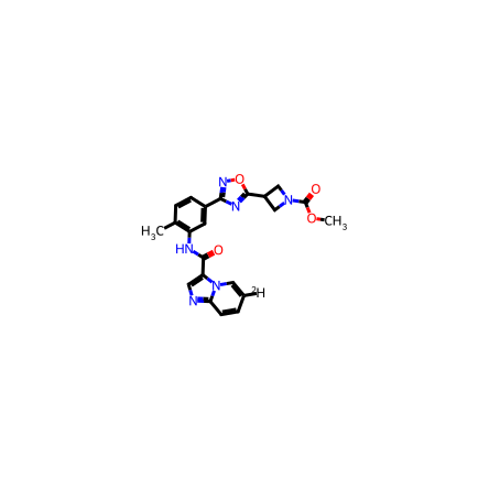 [2H]c1ccc2ncc(C(=O)Nc3cc(-c4noc(C5CN(C(=O)OC)C5)n4)ccc3C)n2c1